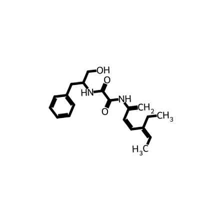 C=C(/C=C\C(=C/C)CC)NC(=O)C(=O)NC(CO)Cc1ccccc1